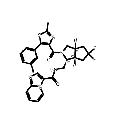 Cc1cccc(-c2sc(C)nc2C(=O)N2C[C@@H]3CC(F)(F)C[C@@H]3[C@H]2CNC(=O)c2cnc3ccccn23)c1